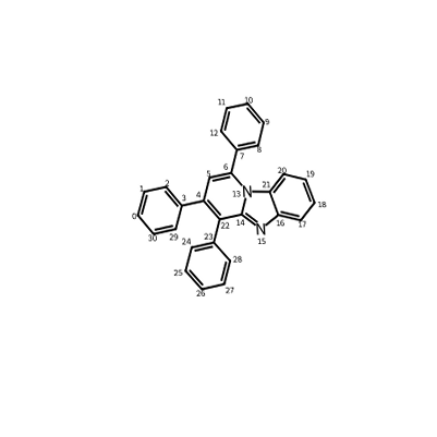 c1ccc(-c2cc(-c3ccccc3)n3c(nc4ccccc43)c2-c2ccccc2)cc1